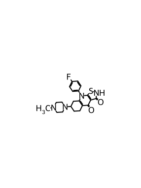 CN1CCN(C2CCc3c(n(-c4ccc(F)cc4)c4s[nH]c(=O)c4c3=O)C2)CC1